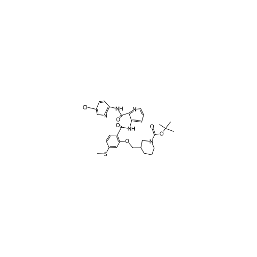 CSc1ccc(C(=O)Nc2cccnc2C(=O)Nc2ccc(Cl)cn2)c(OCC2CCCN(C(=O)OC(C)(C)C)C2)c1